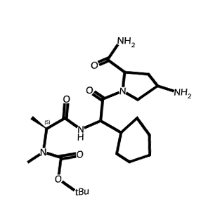 C[C@@H](C(=O)NC(C(=O)N1CC(N)CC1C(N)=O)C1CCCCC1)N(C)C(=O)OC(C)(C)C